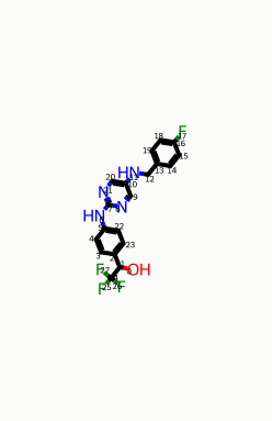 OC(c1ccc(Nc2ncc(NCc3ccc(F)cc3)cn2)cc1)C(F)(F)F